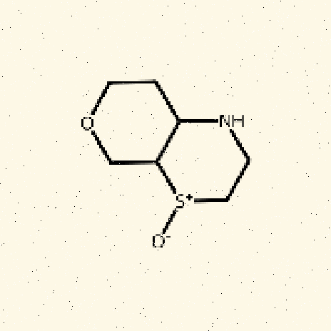 [O-][S+]1CCNC2CCOCC21